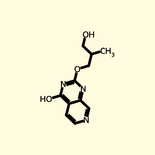 CC(CO)COc1nc(O)c2ccncc2n1